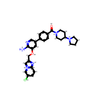 Nc1ncc(-c2ccc(C(=O)N3CCC(N4CCCC4)CC3)cc2)cc1OCc1cn2cc(Cl)ccc2n1